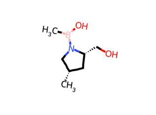 CB(O)N1C[C@@H](C)C[C@H]1CO